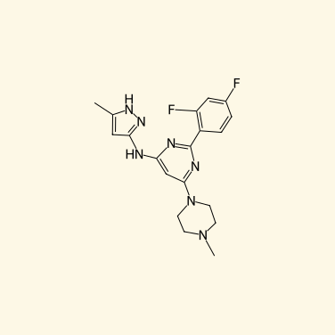 Cc1cc(Nc2cc(N3CCN(C)CC3)nc(-c3ccc(F)cc3F)n2)n[nH]1